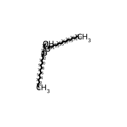 CCCCCCCCCCCCCCOC[C@H](CO)OCCCCCCCCCCCCCC